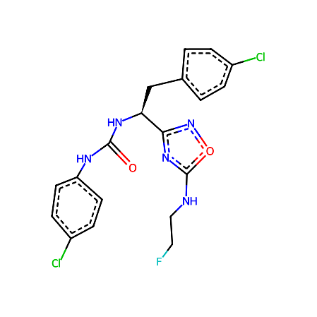 O=C(Nc1ccc(Cl)cc1)N[C@@H](Cc1ccc(Cl)cc1)c1noc(NCCF)n1